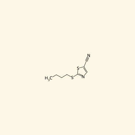 CCCCSc1ncc(C#N)s1